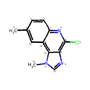 Cc1ccc2nc(Cl)c3ncn(C)c3c2c1